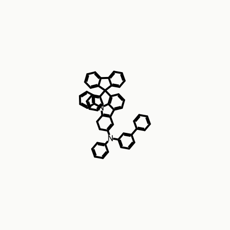 C1=C(N(c2ccccc2)c2cccc(-c3ccccc3)c2)CCc2c1c1cccc(C3(c4ccccc4)c4ccccc4-c4ccccc43)c1n2-c1ccccc1